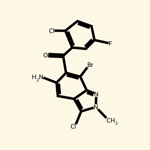 Cn1nc2c(Br)c(C(=O)c3cc(F)ccc3Cl)c(N)cc2c1Cl